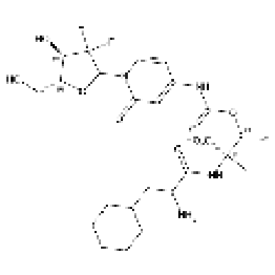 C[C@@H](OC(=O)Nc1ccn(C2O[C@H](CO)[C@@H](O)C2(F)F)c(=O)c1)[C@@](C)(NC(=O)C(N)CC1CCCCC1)C(=O)O